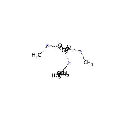 CCCCCCCC/C=C\CCCCCCCC(=O)OCC(COC(=O)CCCCCCC/C=C\CCCCCCCC)OC(=O)CCCCCCC/C=C\CCCCCCCC.OP(O)(O)=S